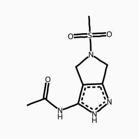 CC(=O)Nc1[nH]nc2c1CN(S(C)(=O)=O)C2